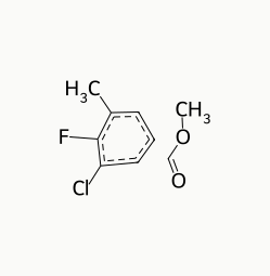 COC=O.Cc1cccc(Cl)c1F